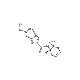 CC(C)Oc1ccc2cc(C(=O)N[C@H]3C4CCN(CC4)C34CC4)sc2c1